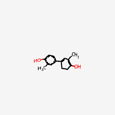 CC1=C(O)CCC(c2ccc(O)c(C)c2)=C1